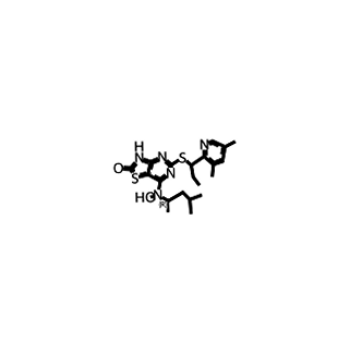 CCC(Sc1nc(N(O)[C@H](C)CC(C)C)c2sc(=O)[nH]c2n1)c1ncc(C)cc1C